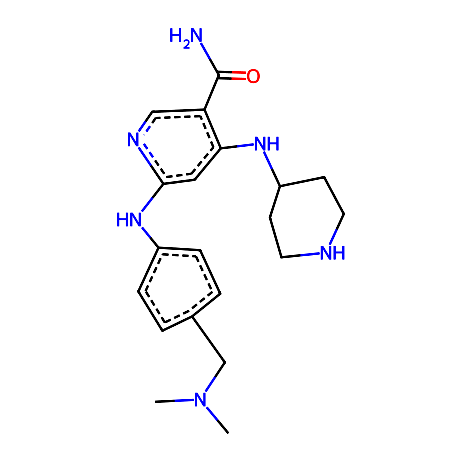 CN(C)Cc1ccc(Nc2cc(NC3CCNCC3)c(C(N)=O)cn2)cc1